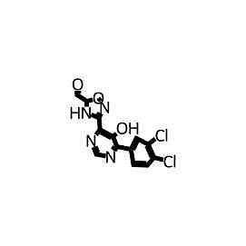 O=CC1NC(c2ncnc(-c3ccc(Cl)c(Cl)c3)c2O)=NO1